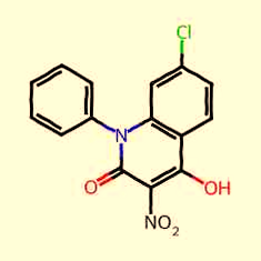 O=c1c([N+](=O)[O-])c(O)c2ccc(Cl)cc2n1-c1ccccc1